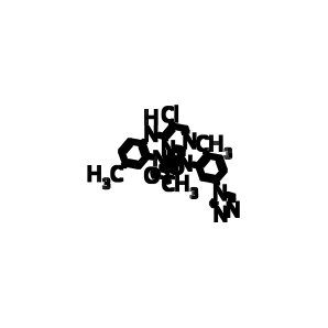 Cc1ccc(Nc2nc(Nc3cc(-n4cnnc4)ccc3C)ncc2Cl)c(NS(C)(=O)=O)c1